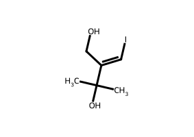 CC(C)(O)C(=CI)CO